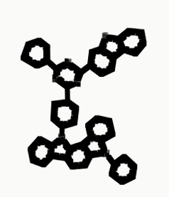 c1ccc(-c2nc(-c3ccc(-n4c5ccccc5c5ccc6c(c7ccccc7n6-c6ccccc6)c54)cc3)nc(-c3ccc4c(c3)sc3ccccc34)n2)cc1